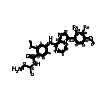 CCc1cc(Nc2nccn3c(-c4ccc(OC)c(F)c4F)cnc23)ccc1C(=O)N[C@@H](C)CN